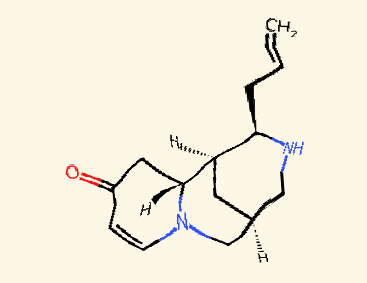 C=CC[C@H]1NC[C@@H]2C[C@H]1[C@H]1CC(=O)C=CN1C2